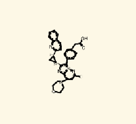 O=C(O)Cc1ccc(-c2c([C@@H]3C[C@H]3c3ccc4ccccc4n3)nc3c(N4CCOCC4)cc(Cl)nn23)cc1